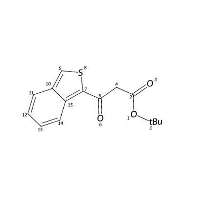 CC(C)(C)OC(=O)CC(=O)c1scc2ccccc12